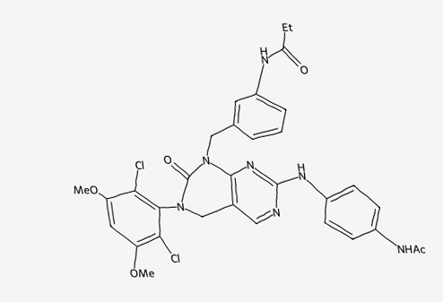 CCC(=O)Nc1cccc(CN2C(=O)N(c3c(Cl)c(OC)cc(OC)c3Cl)Cc3cnc(Nc4ccc(NC(C)=O)cc4)nc32)c1